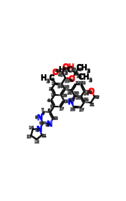 Cc1cc2cc(-c3cnc(N4CCCC4)nc3)ccc2c(-c2ccc3c4c(ccnc24)CCO3)c1[C@H](OC(C)(C)C)C(=O)O